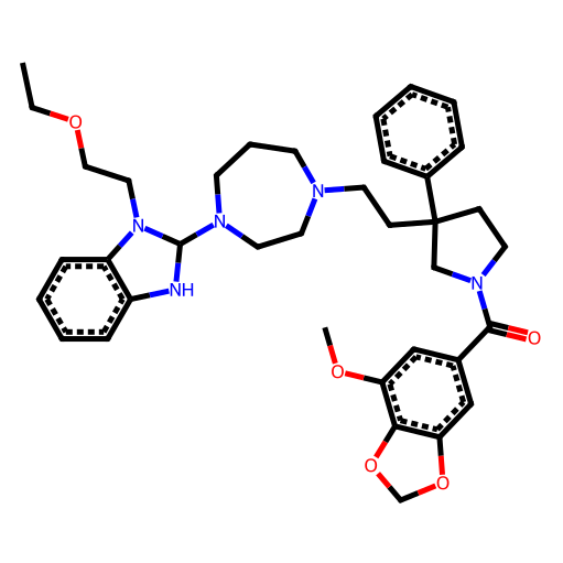 CCOCCN1c2ccccc2NC1N1CCCN(CCC2(c3ccccc3)CCN(C(=O)c3cc(OC)c4c(c3)OCO4)C2)CC1